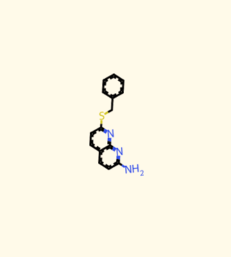 Nc1ccc2ccc(SCc3ccccc3)nc2n1